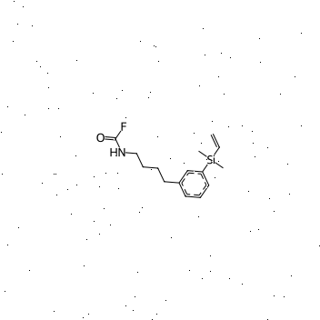 C=C[Si](C)(C)c1cccc(CCCCNC(=O)F)c1